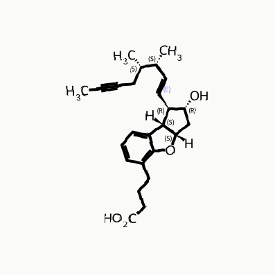 CC#CC[C@H](C)[C@H](C)/C=C/[C@@H]1[C@H]2c3cccc(CCCC(=O)O)c3O[C@H]2C[C@H]1O